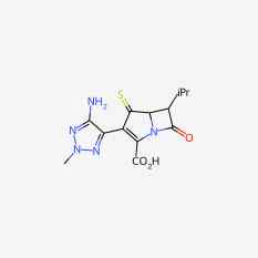 CC(C)C1C(=O)N2C(C(=O)O)=C(c3nn(C)nc3N)C(=S)C12